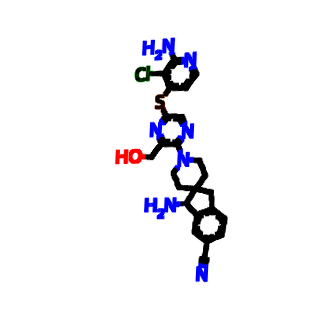 N#Cc1ccc2c(c1)[C@@H](N)C1(CCN(c3ncc(Sc4ccnc(N)c4Cl)nc3CO)CC1)C2